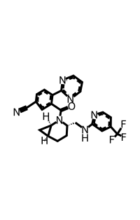 N#Cc1ccc(-c2ncccn2)c(C(=O)N2[C@H](CNc3cc(C(F)(F)F)ccn3)CC[C@H]3C[C@H]32)c1